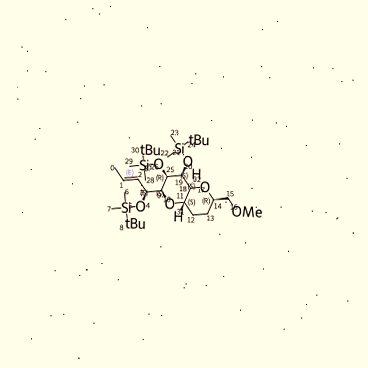 C/C=C/[C@H](O[Si](C)(C)C(C)(C)C)[C@@H]1O[C@H]2CC[C@H](COC)O[C@@H]2[C@H](O[Si](C)(C)C(C)(C)C)[C@@H]1O[Si](C)(C)C(C)(C)C